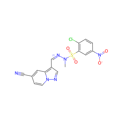 CN(/N=C\c1cnn2ccc(C#N)cc12)S(=O)(=O)c1cc([N+](=O)[O-])ccc1Cl